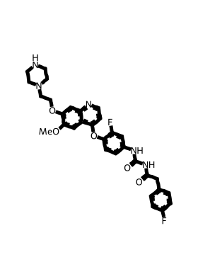 COc1cc2c(Oc3ccc(NC(=O)NC(=O)Cc4ccc(F)cc4)cc3F)ccnc2cc1OCCN1CCNCC1